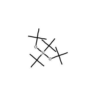 CC(C)(C)O[Si](OC(C)(C)C)(C(C)(C)C)C(C)(C)C